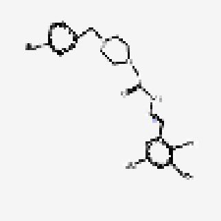 CC(C)(C)c1ccc(CN2CCN(CC(=O)N/N=C/c3cc(C(C)(C)C)cc(C(C)(C)C)c3O)CC2)cc1